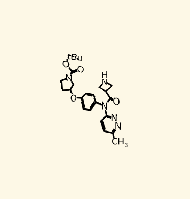 Cc1ccc(N(C(=O)C2CNC2)c2ccc(OC3CCN(C(=O)OC(C)(C)C)C3)cc2)nn1